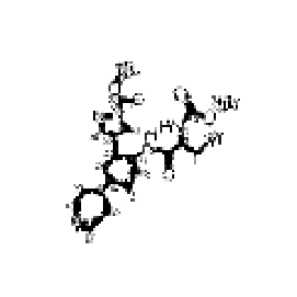 CC(C)CC(NC(=O)OC(C)(C)C)C(=O)Nc1ccc(-c2ccncc2)cc1-c1cnn(C(=O)OC(C)(C)C)c1